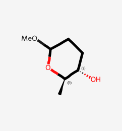 COC1CC[C@H](O)[C@@H](C)O1